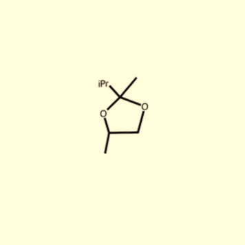 CC1COC(C)(C(C)C)O1